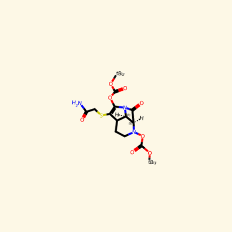 CC(C)(C)OC(=O)OC1=C(SCC(N)=O)C2CCN(OC(=O)OC(C)(C)C)[C@@H]3C(=O)N1[C@H]23